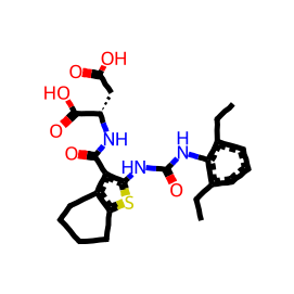 CCc1cccc(CC)c1NC(=O)Nc1sc2c(c1C(=O)N[C@@H](CC(=O)O)C(=O)O)CCCC2